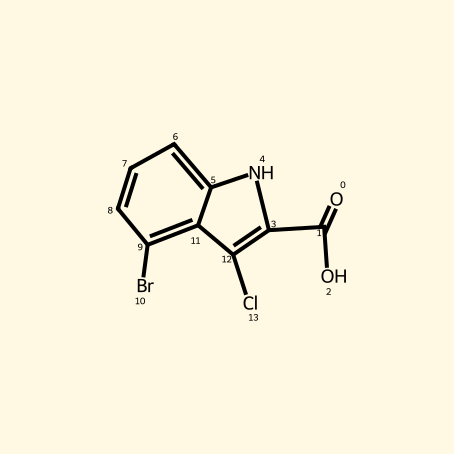 O=C(O)c1[nH]c2cccc(Br)c2c1Cl